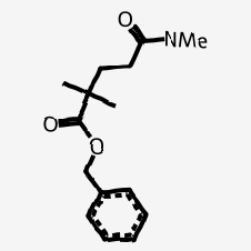 CNC(=O)CCC(C)(C)C(=O)OCc1ccccc1